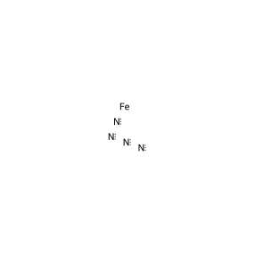 [Fe].[N].[N].[N].[N]